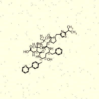 CC(C)c1nc(CN2CCN([C@H](C(=O)N[C@@H](Cc3ccccc3)C[C@H](O)[C@H](Cc3ccc(-c4ccccn4)cc3)NC(=O)[C@@H](NC(=O)O)C(C)(C)C)C(C)(C)C)C2=O)cs1